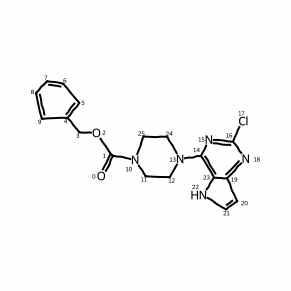 O=C(OCc1ccccc1)N1CCN(c2nc(Cl)nc3cc[nH]c23)CC1